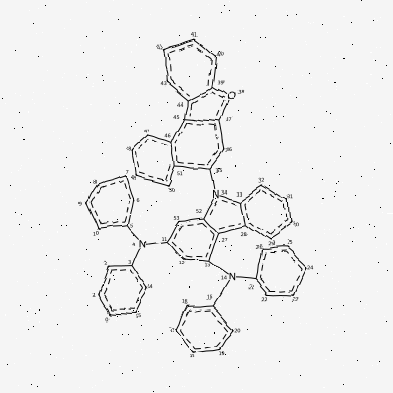 c1ccc(N(c2ccccc2)c2cc(N(c3ccccc3)c3ccccc3)c3c4ccccc4n(-c4cc5oc6ccccc6c5c5ccccc45)c3c2)cc1